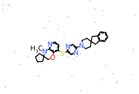 CN1c2nccc(Sc3cnc(N4CCC5(CC4)Cc4ccccc4C5)cn3)c2OCC12CCCC2